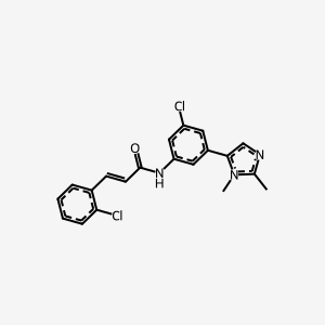 Cc1ncc(-c2cc(Cl)cc(NC(=O)C=Cc3ccccc3Cl)c2)n1C